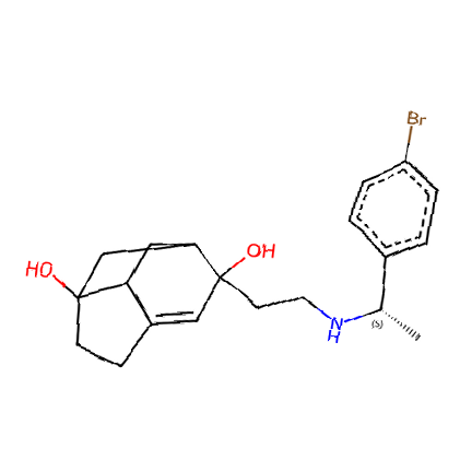 C[C@H](NCCC1(O)C=C2CCC3(O)CC1CC23)c1ccc(Br)cc1